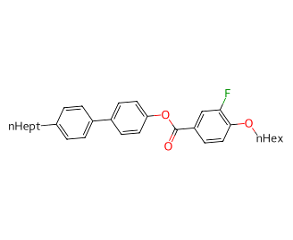 CCCCCCCc1ccc(-c2ccc(OC(=O)c3ccc(OCCCCCC)c(F)c3)cc2)cc1